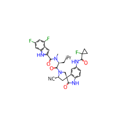 CC(C)C[C@@H](C(=O)N1C[C@]2(C[C@H]1C#N)C(=O)Nc1ccc(NC(=O)C3(F)CC3)cc12)N(C)C(=O)c1cc2c(F)cc(F)cc2[nH]1